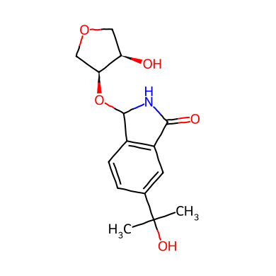 CC(C)(O)c1ccc2c(c1)C(=O)NC2O[C@H]1COC[C@H]1O